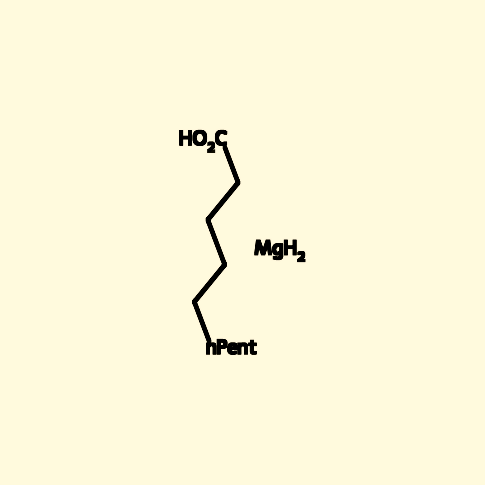 CCCCCCCCCC(=O)O.[MgH2]